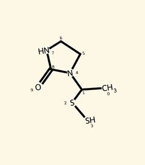 CC(SS)N1CCNC1=O